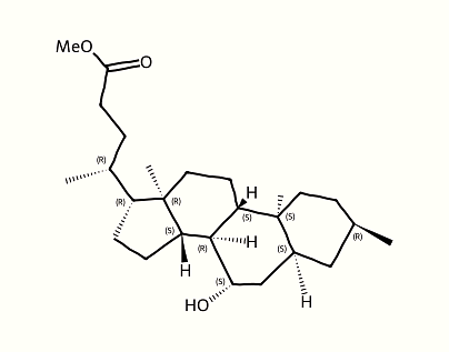 COC(=O)CC[C@@H](C)[C@H]1CC[C@H]2[C@@H]3[C@@H](O)C[C@@H]4C[C@H](C)CC[C@]4(C)[C@H]3CC[C@]12C